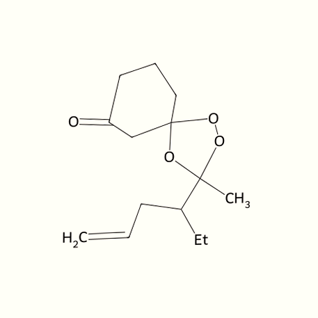 C=CCC(CC)C1(C)OOC2(CCCC(=O)C2)O1